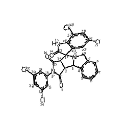 O=C1C2C3c4ccccc4CN3C3(C(=O)Nc4c(Cl)cc(Cl)cc43)C2C(=O)N1c1cc(Cl)cc(Cl)c1